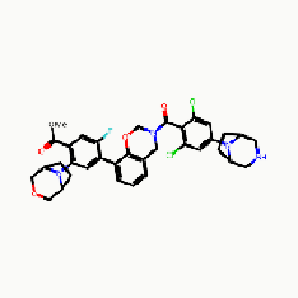 COC(=O)c1cc(F)c(-c2cccc3c2OCN(C(=O)c2c(Cl)cc(N4C5CCC4CNC5)cc2Cl)C3)cc1N1C2CCC1COC2